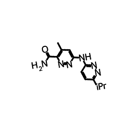 Cc1cc(Nc2ccc(C(C)C)nn2)nnc1C(N)=O